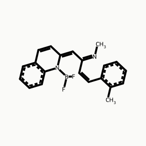 C/N=C(/C=C\c1ccccc1C)\C=C1\C=Cc2ccccc2N1B(F)F